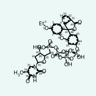 CCOc1ccc2c(c1)Oc1cc(OP(=O)(O)OP(=O)(O)OP(=O)(O)OP(=O)(O)CC3OC(n4cc(C)c(=O)[nH]c4=O)C[C@H]3O)ccc1C21OC(=O)c2ccccc21